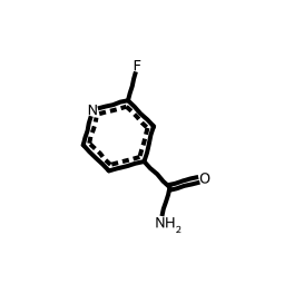 NC(=O)c1ccnc(F)c1